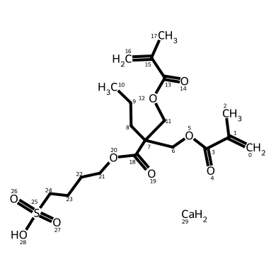 C=C(C)C(=O)OCC(CCC)(COC(=O)C(=C)C)C(=O)OCCCCS(=O)(=O)O.[CaH2]